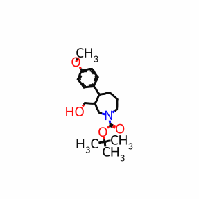 COc1ccc(C2CCCN(C(=O)OC(C)(C)C)CC2CO)cc1